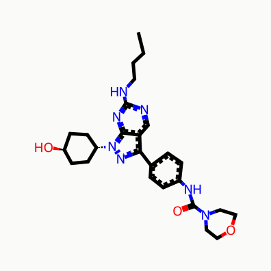 CCCCNc1ncc2c(-c3ccc(NC(=O)N4CCOCC4)cc3)nn([C@H]3CC[C@H](O)CC3)c2n1